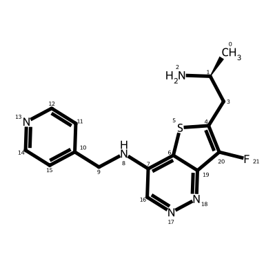 C[C@H](N)Cc1sc2c(NCc3ccncc3)cnnc2c1F